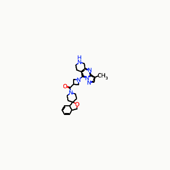 Cc1cnn2c(N3CC(C(=O)N4CCC5(CC4)OCC4C=CC=CC45)C3)c3c(nc12)CNCC3